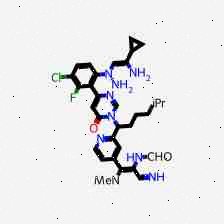 CN/C(=C(\C=N)NC=O)c1ccnc(C(CCCC(C)C)n2cnc(-c3c(N(N)/C=C(\N)C4CC4)ccc(Cl)c3F)cc2=O)c1